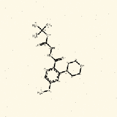 CSc1cnc(C(=O)NNC(=O)OC(C)(C)C)c(N2CCOCC2)c1